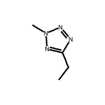 CCc1nnn(C)n1